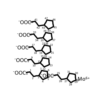 O=C([O-])CCC1CCCC1.O=C([O-])CCC1CCCC1.O=C([O-])CCC1CCCC1.O=C([O-])CCC1CCCC1.O=C([O-])CCC1CCCC1.O=C([O-])CCC1CCCC1.[Mo+6]